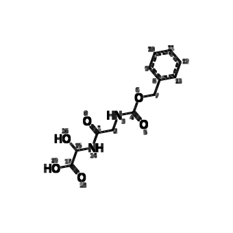 O=C(CNC(=O)OCc1ccccc1)NC(O)C(=O)O